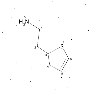 NCCC1CC=CS1